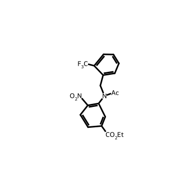 CCOC(=O)c1ccc([N+](=O)[O-])c(N(Cc2ccccc2C(F)(F)F)C(C)=O)c1